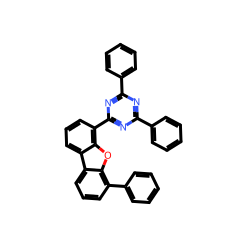 c1ccc(-c2nc(-c3ccccc3)nc(-c3cccc4c3oc3c(-c5ccccc5)cccc34)n2)cc1